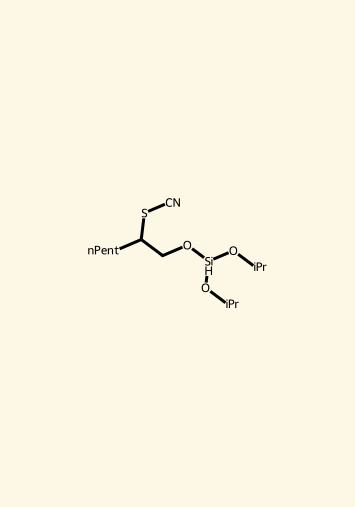 CCCCCC(CO[SiH](OC(C)C)OC(C)C)SC#N